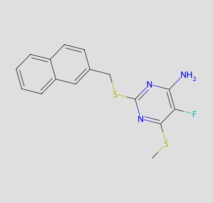 CSc1nc(SCc2ccc3ccccc3c2)nc(N)c1F